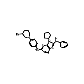 BrC1[CH]CCN(c2ccc(Nc3ncc4nc(Nc5ccccc5)n(C5CCCC5)c4n3)cc2)C1